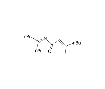 CCCC/C(C)=C/C(=O)N=S(CCC)CCC